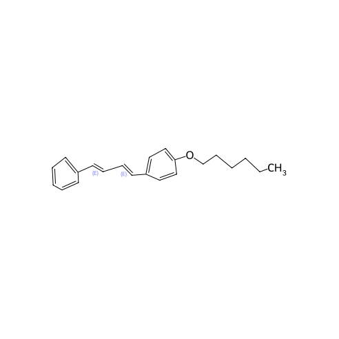 CCCCCCOc1ccc(/C=C/C=C/c2ccccc2)cc1